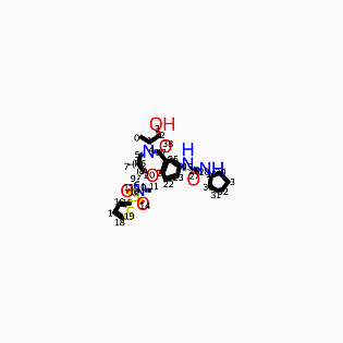 CC(CO)N1C[C@@H](C)[C@@H](CN(C)S(=O)(=O)c2cccs2)Oc2ccc(NC(=O)NC3CCCCC3)cc2C1=O